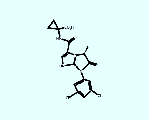 C[C@H]1C(=O)N(c2cc(Cl)cc(Cl)c2)C2NC=C(C(=O)NC3(C(=O)O)CC3)N21